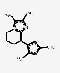 Cc1nc2n(c1C)CCOC2c1cc(C=O)sc1C